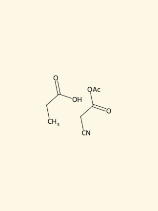 CC(=O)OC(=O)CC#N.CCC(=O)O